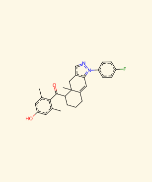 Cc1cc(O)cc(C)c1C(=O)C1CCCC2=Cc3c(cnn3-c3ccc(F)cc3)CC21C